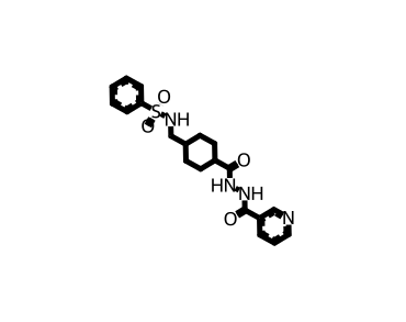 O=C(NNC(=O)C1CCC(CNS(=O)(=O)c2ccccc2)CC1)c1cccnc1